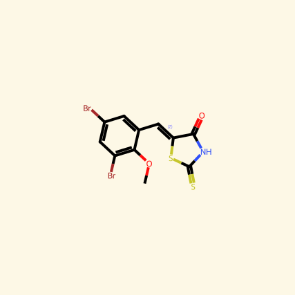 COc1c(Br)cc(Br)cc1/C=C1\SC(=S)NC1=O